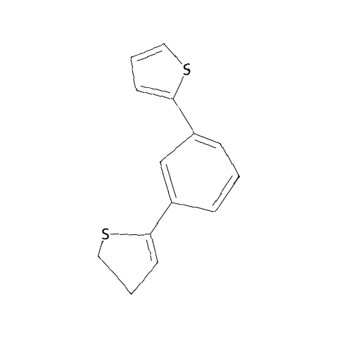 C1=C(c2cccc(-c3cccs3)c2)SCC1